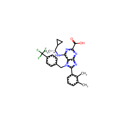 Cc1cccc(-c2nc3nc(C(=O)O)nc(N[C@H](C)C4CC4)c3n2Cc2ccc(C(F)(F)F)cc2)c1C